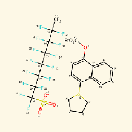 CCOC(=O)Oc1ccc([S+]2CCCC2)c2ccccc12.O=S(=O)([O-])C(F)(F)C(F)(F)C(F)(F)C(F)(F)C(F)(F)C(F)(F)C(F)(F)C(F)(F)F